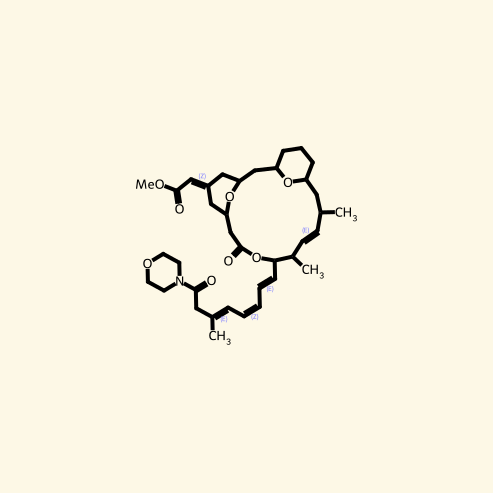 COC(=O)/C=C1\CC2CC(=O)OC(/C=C/C=C\C=C(/C)CC(=O)N3CCOCC3)C(C)/C=C/C(C)CC3CCCC(CC(C1)O2)O3